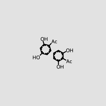 CC(=O)c1c(O)cccc1O.CC(=O)c1ccc(O)cc1O